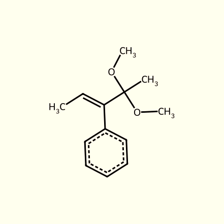 C/C=C(\c1ccccc1)C(C)(OC)OC